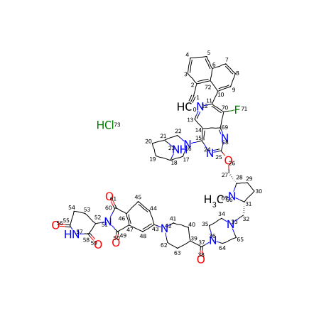 C#Cc1cccc2cccc(-c3ncc4c(N5CC6CCC(C5)N6)nc(OC[C@@H]5CC[C@H](CN6CCN(C(=O)C7CCN(c8ccc9c(c8)C(=O)N(C8CCC(=O)NC8=O)C9=O)CC7)CC6)N5C)nc4c3F)c12.Cl